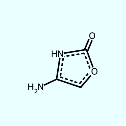 Nc1coc(=O)[nH]1